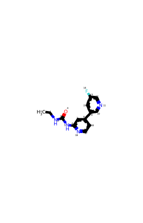 CCNC(=O)Nc1cc(-c2cncc(F)c2)ccn1